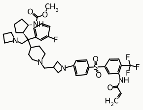 C=CC(=O)Nc1cc(S(=O)(=O)c2ccc(N3CC(CN4CCC(C(CN5CCC5)(c5cccc(F)c5)[C@H]5CCC[C@@H]5NC(=O)OC)CC4)C3)cc2)ccc1C(F)(F)F